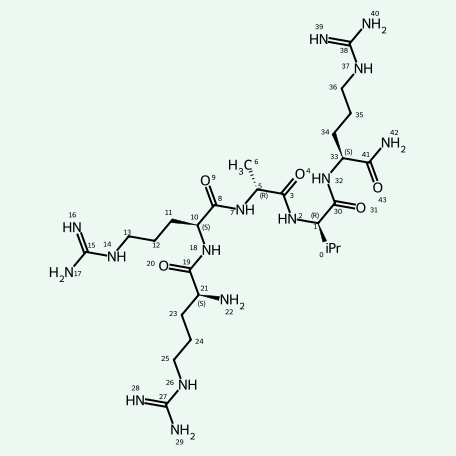 CC(C)[C@@H](NC(=O)[C@@H](C)NC(=O)[C@H](CCCNC(=N)N)NC(=O)[C@@H](N)CCCNC(=N)N)C(=O)N[C@@H](CCCNC(=N)N)C(N)=O